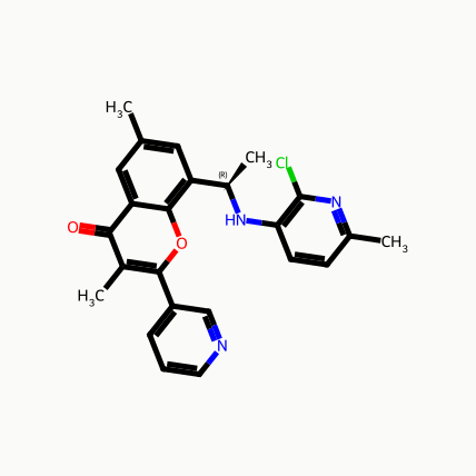 Cc1cc([C@@H](C)Nc2ccc(C)nc2Cl)c2oc(-c3cccnc3)c(C)c(=O)c2c1